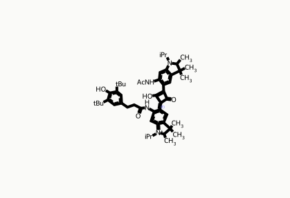 CC(=O)Nc1cc2c(cc1C1=C(O)/C(=c3/cc4c(cc3NC(=O)CCc3cc(C(C)(C)C)c(O)c(C(C)(C)C)c3)=[N+](C(C)C)C(C)C4(C)C)C1=O)C(C)(C)C(C)N2C(C)C